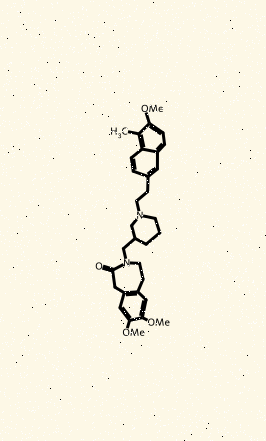 COc1cc2c(cc1OC)CC(=O)N(CC1CCCN(CCc3ccc4c(C)c(OC)ccc4c3)C1)CC2